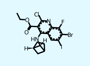 CCOC(=O)c1c(Cl)nc2c(F)c(Br)c(I)cc2c1N[C@@H]1C2CC[C@H]1C2